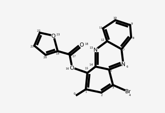 Cc1cc(Br)c2nc3ccccc3nc2c1OC(=O)c1ccco1